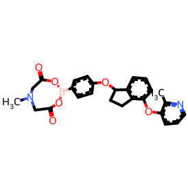 Cc1ncccc1Oc1cccc2c1CCC2Oc1ccc(B2OC(=O)CN(C)CC(=O)O2)cc1